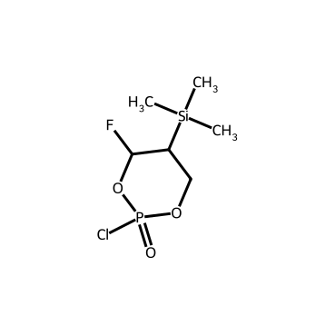 C[Si](C)(C)C1COP(=O)(Cl)OC1F